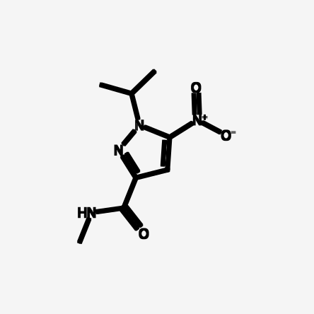 CNC(=O)c1cc([N+](=O)[O-])n(C(C)C)n1